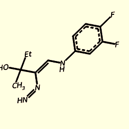 CCC(C)(O)/C(=C/Nc1ccc(F)c(F)c1)N=N